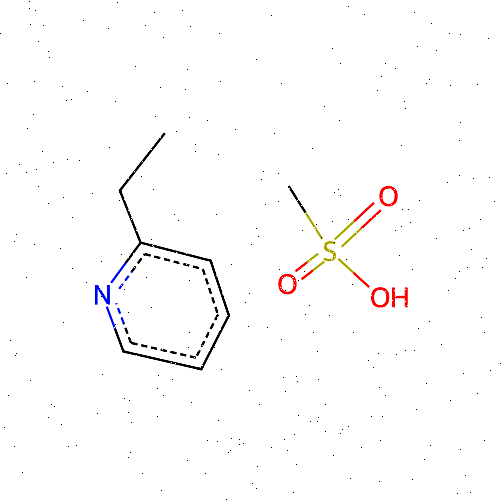 CCc1ccccn1.CS(=O)(=O)O